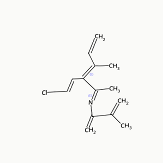 C=C/C(C)=C(C=CCl)/C(C)=N/C(=C)C(=C)C